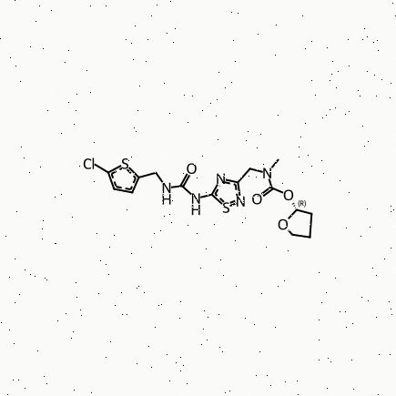 CN(Cc1nsc(NC(=O)NCc2ccc(Cl)s2)n1)C(=O)O[C@@H]1CCCO1